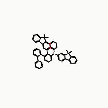 CC1(C)c2ccccc2-c2cc(-c3c(-c4ccccc4-c4ccccc4)cccc3N(c3ccccc3)c3ccc4c(c3)C(C)(C)c3ccccc3-4)ccc21